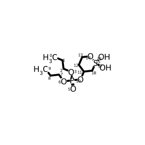 CCCOP(=O)(OCCC)OC1CCOS(O)(O)C1